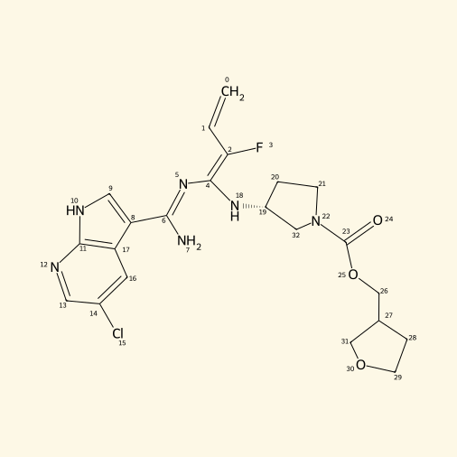 C=C/C(F)=C(\N=C(/N)c1c[nH]c2ncc(Cl)cc12)N[C@@H]1CCN(C(=O)OCC2CCOC2)C1